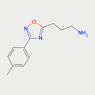 Cc1ccc(-c2noc(CCCN)n2)cc1